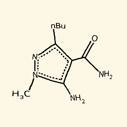 CCCCc1nn(C)c(N)c1C(N)=O